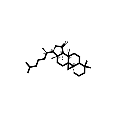 CC(C)CCC[C@@H](C)[C@H]1CC(=O)[C@@]2(C)[C@@H]3CCC4C(C)(C)CCC[C@@]45CC35CC[C@]12C